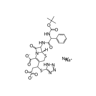 CC(C)(C)OC(=O)NC(C(=O)NC1C(=O)N2C(C(=O)[O-])=C(C(CS(=O)(=O)[O-])Sc3nnn[nH]3)CS[C@@H]12)c1ccccc1.[Na+].[Na+]